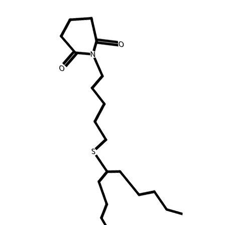 CCCCCC(CCCC)SCCCCCN1C(=O)CCCC1=O